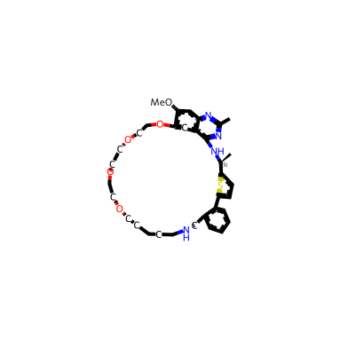 COc1cc2nc(C)nc3c2cc1OCCOCCOCCOCCCCCNCc1ccccc1-c1ccc(s1)[C@H](C)N3